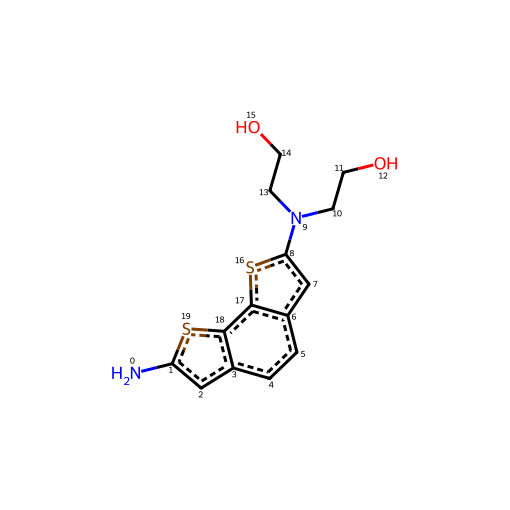 Nc1cc2ccc3cc(N(CCO)CCO)sc3c2s1